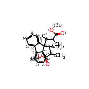 CC(C(=O)OC(C)(C)C)C(C)C1(C(C)C(C)C(=O)OC(C)(C)C)c2ccccc2-c2ccccc21